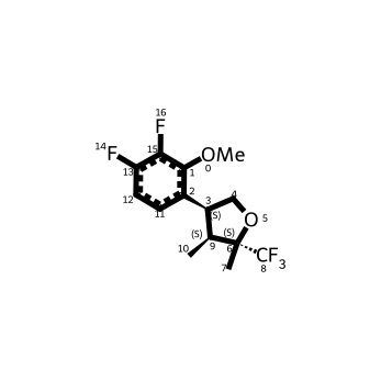 COc1c([C@H]2CO[C@](C)(C(F)(F)F)[C@H]2C)ccc(F)c1F